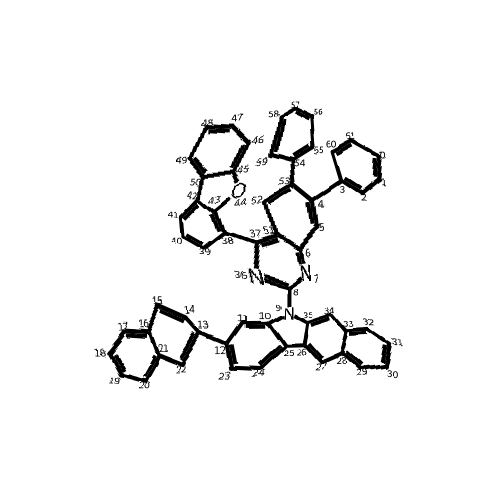 c1ccc(-c2cc3nc(-n4c5cc(-c6ccc7ccccc7c6)ccc5c5cc6ccccc6cc54)nc(-c4cccc5c4oc4ccccc45)c3cc2-c2ccccc2)cc1